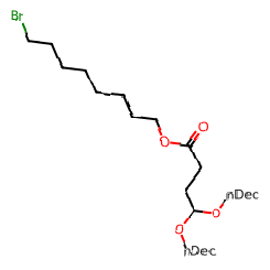 CCCCCCCCCCOC(CCC(=O)OCCCCCCCCBr)OCCCCCCCCCC